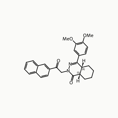 COc1ccc(C2=NN(CC(=O)c3ccc4ccccc4c3)C(=O)[C@H]3CCCC[C@@H]23)cc1OC